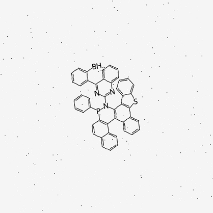 Bc1ccccc1-c1nc(N2c3c(c4ccccc4c4sc5ccccc5c34)-c3c(ccc4ccccc34)P2c2ccccc2)nc2ccccc12